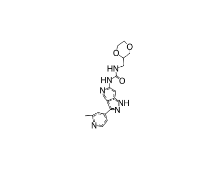 Cc1cc(-c2n[nH]c3cc(NC(=O)NCC4COCCO4)ncc23)ccn1